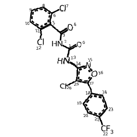 O=C(NC(=O)c1c(Cl)cccc1Cl)Nc1noc(-c2ccc(C(F)(F)F)cc2)c1Cl